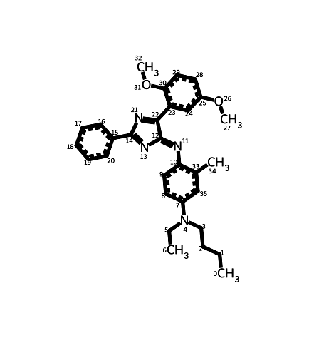 CCCCN(CC)c1ccc(/N=C2\N=C(c3ccccc3)N=C2c2cc(OC)ccc2OC)c(C)c1